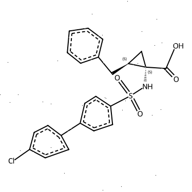 O=C(O)[C@]1(NS(=O)(=O)c2ccc(-c3ccc(Cl)cc3)cc2)C[C@@H]1Cc1ccccc1